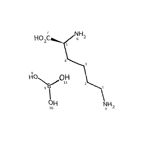 NCCCC[C@H](N)C(=O)O.OB(O)O